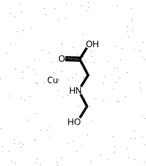 O=C(O)CNCO.[Cu]